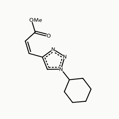 COC(=O)/C=C\c1cn(C2CCCCC2)nn1